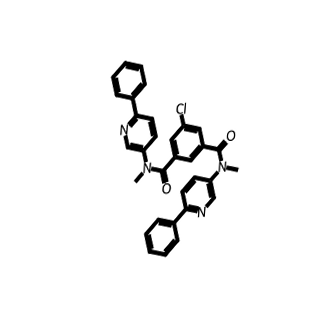 CN(C(=O)c1cc(Cl)cc(C(=O)N(C)c2ccc(-c3ccccc3)nc2)c1)c1ccc(-c2ccccc2)nc1